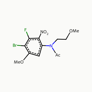 COCCN(C(C)=O)c1cc(OC)c(Br)c(F)c1[N+](=O)[O-]